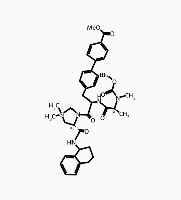 COC(=O)c1ccc(-c2ccc(CC(NC(=O)[C@H](C)N(C)C(=O)OC(C)(C)C)C(=O)N3C[Si](C)(C)C[C@H]3C(=O)NC3CCCc4ccccc43)cc2)cc1